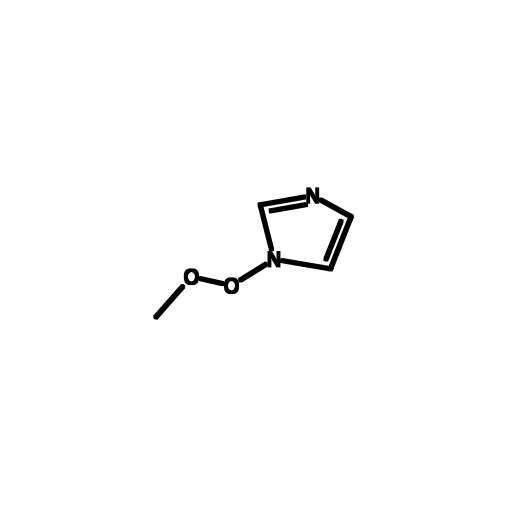 COOn1ccnc1